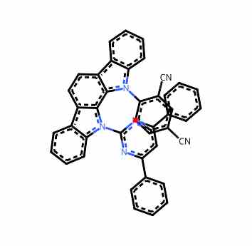 N#Cc1ccc(-n2c3ccccc3c3ccc4c5ccccc5n(-c5nc(-c6ccccc6)cc(-c6ccccc6)n5)c4c32)c(C#N)c1